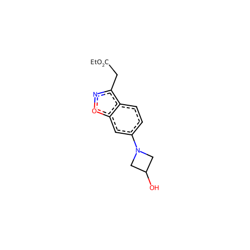 CCOC(=O)Cc1noc2cc(N3CC(O)C3)ccc12